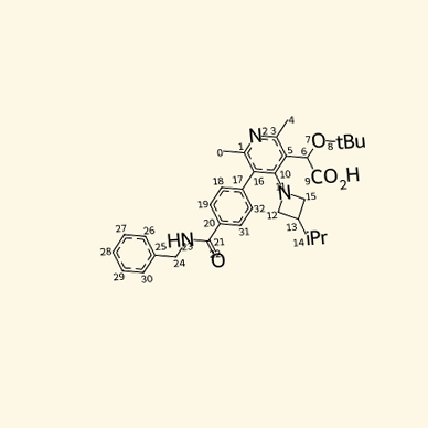 Cc1nc(C)c(C(OC(C)(C)C)C(=O)O)c(N2CC(C(C)C)C2)c1-c1ccc(C(=O)NCc2ccccc2)cc1